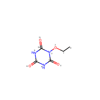 CCOn1c(=O)[nH]c(=O)[nH]c1=O